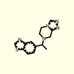 CC(c1ccc2scnc2c1)N1CCn2cnnc2C1